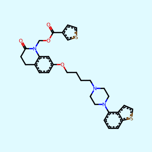 O=C(OCN1C(=O)CCc2ccc(OCCCCN3CCN(c4cccc5sccc45)CC3)cc21)c1ccsc1